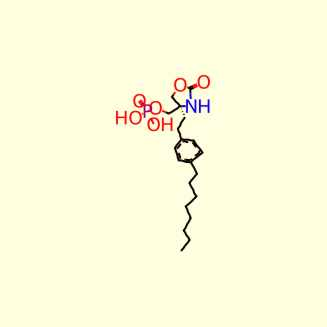 CCCCCCCCc1ccc(CC[C@]2(COP(=O)(O)O)COC(=O)N2)cc1